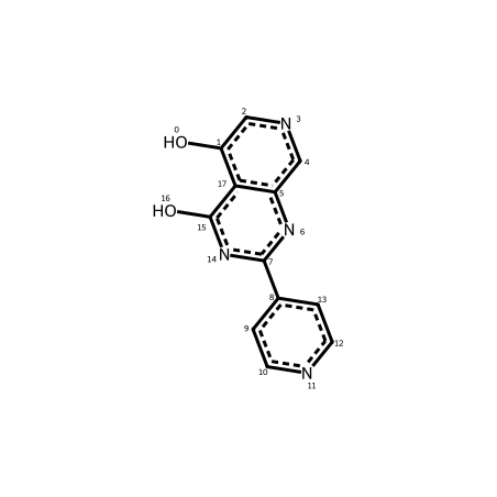 Oc1cncc2nc(-c3ccncc3)nc(O)c12